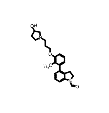 Cc1c(OCCCN2CCC(O)C2)cccc1-c1cccc2c1CCN2C=O